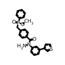 COP(=O)(Cc1ccc(C(=O)N(N)c2cccc(-c3ccsc3)c2)cc1)c1ccccc1